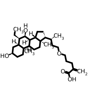 C=C(CCCOCC[C@@H](C)[C@H]1CC[C@H]2[C@@H]3[C@H](O)[C@H](CC)[C@@H]4C[C@H](O)CC[C@]4(C)[C@H]3CC[C@]12C)C(=O)O